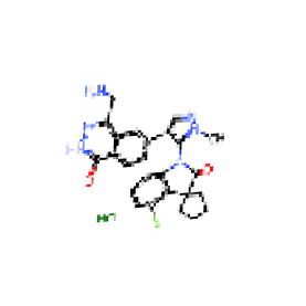 Cl.Cn1ncc(-c2ccc3c(=O)[nH]nc(CN)c3c2)c1N1C(=O)C2(CCCC2)c2c(F)cccc21